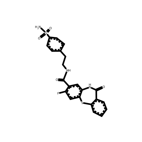 NS(=O)(=O)c1ccc(CCNC(=O)c2cc3c(cc2F)Sc2ccccc2C(=O)N3)cc1